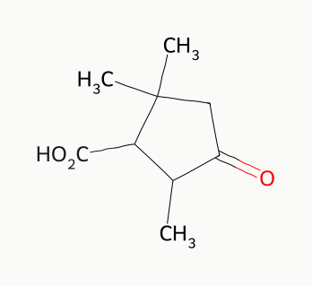 CC1C(=O)CC(C)(C)C1C(=O)O